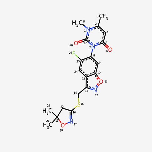 Cn1c(C(F)(F)F)cc(=O)n(-c2cc3onc(CSC4=NOC(C)(C)C4)c3cc2F)c1=O